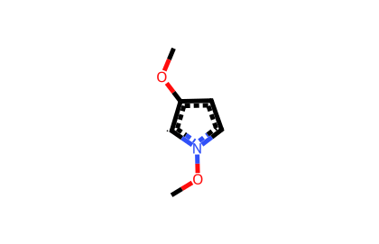 COc1[c]n(OC)cc1